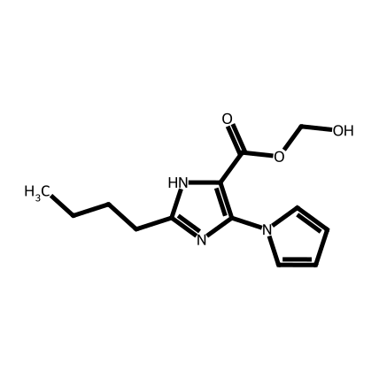 CCCCc1nc(-n2cccc2)c(C(=O)OCO)[nH]1